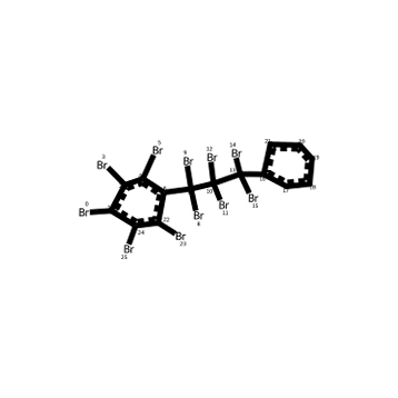 Brc1c(Br)c(Br)c(C(Br)(Br)C(Br)(Br)C(Br)(Br)c2ccccc2)c(Br)c1Br